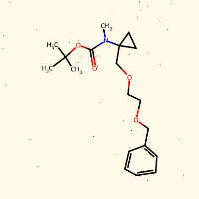 CN(C(=O)OC(C)(C)C)C1(COCCOCc2ccccc2)CC1